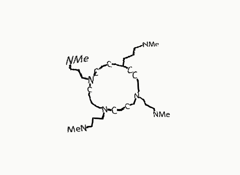 CNCCCC1CCCCN(CCCNC)CCCCN(CCCNC)CCCCN(CCCNC)CCCC1